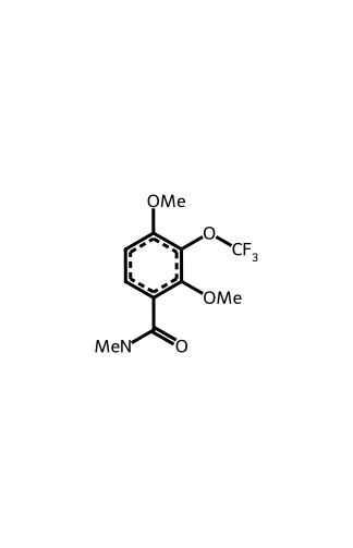 CNC(=O)c1ccc(OC)c(OC(F)(F)F)c1OC